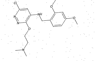 COc1ccc(CNc2cc(Cl)nnc2OCCN(C)C)c(OC)c1